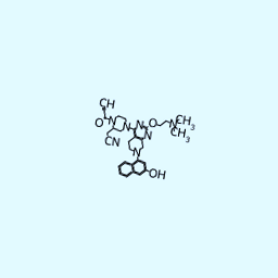 C#CC(=O)N1CCN(c2nc(OCCN(C)C)nc3c2CCN(c2cc(O)cc4ccccc24)C3)CC1CC#N